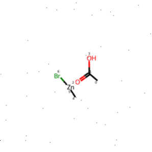 CC(=O)O.[CH3][Zn][Br]